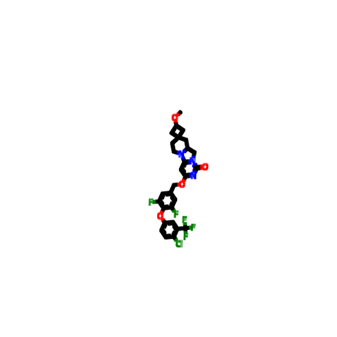 COC1CC2(CCN3c4cc(OCc5cc(F)c(Oc6ccc(Cl)c(C(F)(F)F)c6)c(F)c5)nc(=O)n4CC3C2)C1